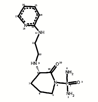 NP(N)(=O)N1CCC[C@H](NCCNc2ccccn2)C1=O